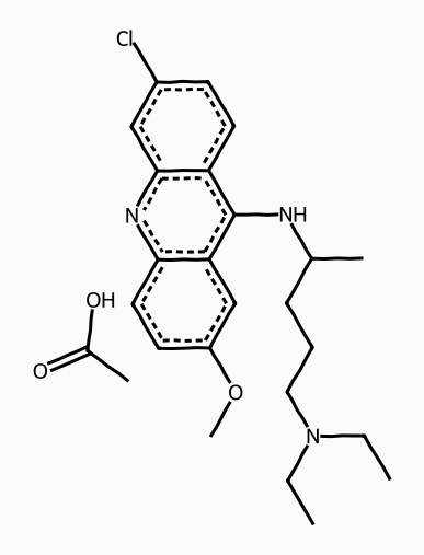 CC(=O)O.CCN(CC)CCCC(C)Nc1c2ccc(Cl)cc2nc2ccc(OC)cc12